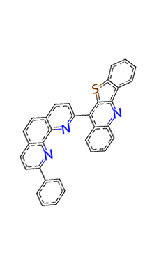 c1ccc(-c2ccc3ccc4ccc(-c5c6ccccc6nc6c5sc5ccccc56)nc4c3n2)cc1